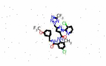 Cc1cc(Cl)cc(C(=O)NCc2cccc(OC(F)(F)F)c2)c1NC(=O)c1cc(Cn2nnc(C(F)(F)F)n2)nn1-c1ncccc1Cl